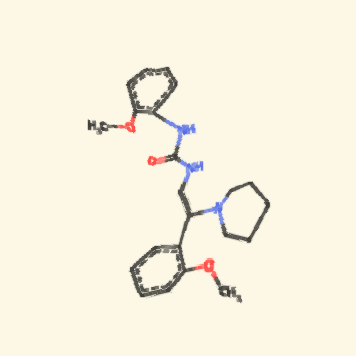 COc1ccccc1NC(=O)NCC(c1ccccc1OC)N1CCCCC1